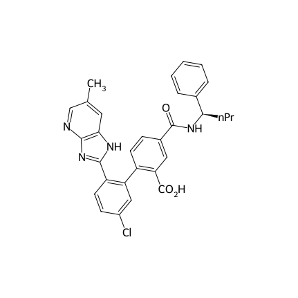 CCC[C@@H](NC(=O)c1ccc(-c2cc(Cl)ccc2-c2nc3ncc(C)cc3[nH]2)c(C(=O)O)c1)c1ccccc1